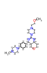 COCCN1CCN(C2=NC(c3ccc(N4CCN(C)CC4)cc3)C3COCCC3=N2)CC1